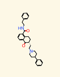 O=C(NCCc1ccccc1)c1cccc2c1CC[C@H](CCN1CCC(c3ccccc3)CC1)C2=O